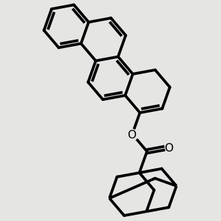 O=C(OC1=CCCc2c1ccc1c2ccc2ccccc21)C12CC3CC(CC(C3)C1)C2